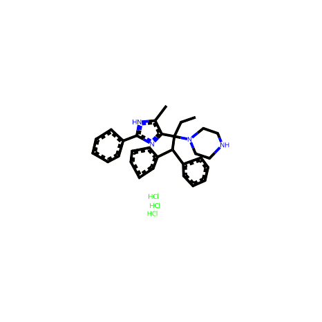 CCC(c1nc(-c2ccccc2)[nH]c1C)(C(c1ccccc1)c1ccccc1)N1CCNCC1.Cl.Cl.Cl